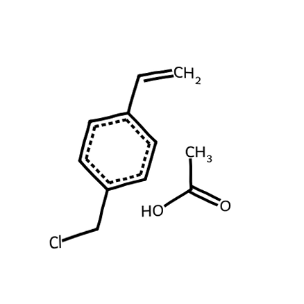 C=Cc1ccc(CCl)cc1.CC(=O)O